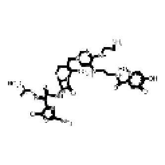 C[C@H](O/N=C(\C(=O)N[C@@H]1C(=O)N2C(C(=O)O)=C(CN3C=C(NCCNC(=O)c4cc(=O)c(O)cn4O)C(NCCN)=NC3)CSC12)c1nc(N)sc1Cl)C(=O)O